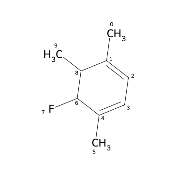 CC1=CC=C(C)C(F)C1C